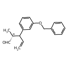 C=CC(c1cccc(OCc2ccccc2)c1)[C@@H](C)C=O